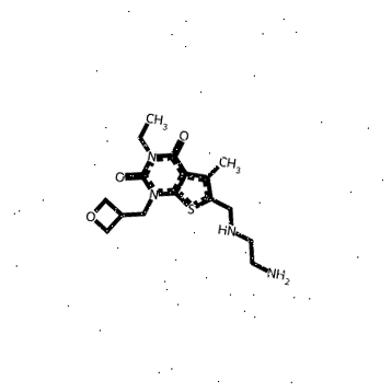 CCn1c(=O)c2c(C)c(CNCCN)sc2n(CC2COC2)c1=O